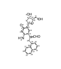 Nc1nc(=O)n([C@H]2C[C@H](O)[C@@H](CO)O2)cc1N(C=O)Cc1cccc2ccccc12